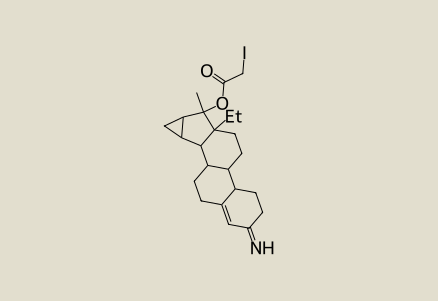 CCC12CCC3C4CCC(=N)C=C4CCC3C1C1CC1C2(C)OC(=O)CI